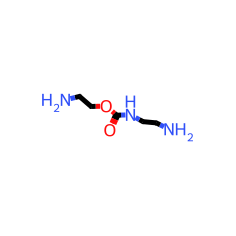 NCCNC(=O)OCCN